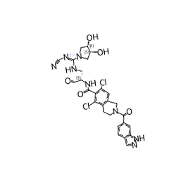 N#C/N=C(\NC[C@@H](C=O)NC(=O)c1c(Cl)cc2c(c1Cl)CCN(C(=O)c1ccc3cn[nH]c3c1)C2)N1C[C@@H](O)[C@@H](O)C1